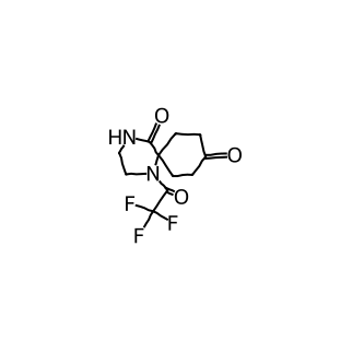 O=C1CCC2(CC1)C(=O)NCCN2C(=O)C(F)(F)F